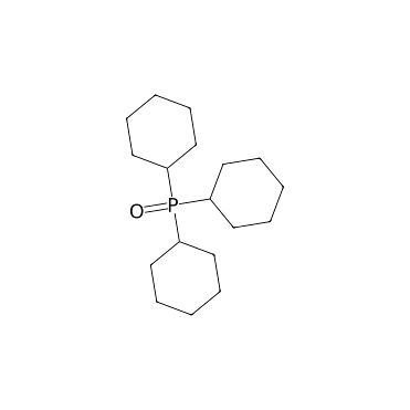 O=P(C1CCCCC1)(C1CCCCC1)C1CCCCC1